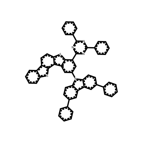 c1ccc(-c2ccc3c(c2)c2cc(-c4ccccc4)ccc2n3-c2cc(-c3nc(-c4ccccc4)nc(-c4ccccc4)n3)c3sc4ccc5c6ccccc6sc5c4c3c2)cc1